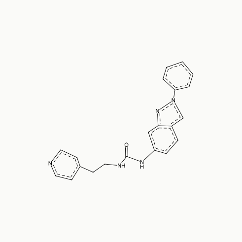 O=C(NCCc1ccncc1)Nc1ccc2cn(-c3ccccc3)nc2c1